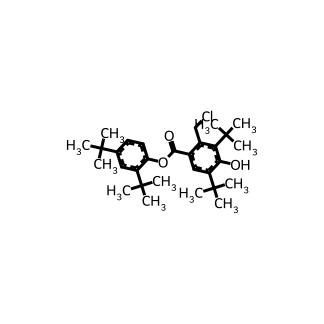 CC(C)(C)c1ccc(OC(=O)c2cc(C(C)(C)C)c(O)c(C(C)(C)C)c2CCl)c(C(C)(C)C)c1